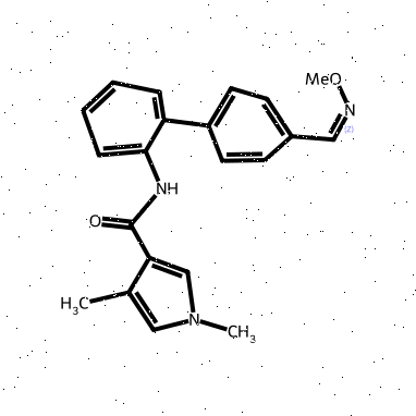 CO/N=C\c1ccc(-c2ccccc2NC(=O)c2cn(C)cc2C)cc1